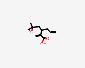 C=CCC(CC1(C)CO1)C(=C)C(=O)O